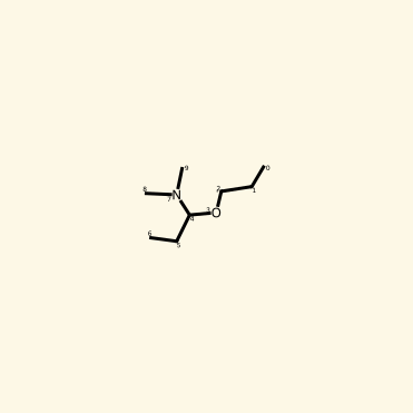 CC[CH]OC(CC)N(C)C